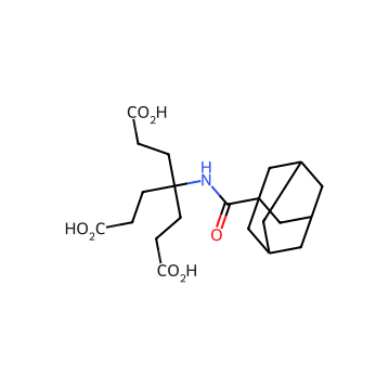 O=C(O)CCC(CCC(=O)O)(CCC(=O)O)NC(=O)C12CC3CC(CC(C3)C1)C2